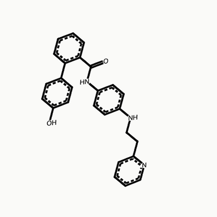 O=C(Nc1ccc(NCCc2ccccn2)cc1)c1ccccc1-c1ccc(O)cc1